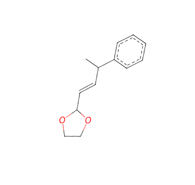 CC(C=CC1OCCO1)c1ccccc1